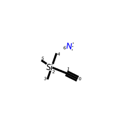 C#C[Si](C)(C)C.[N]